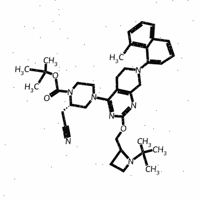 Cc1cccc2cccc(N3CCc4c(nc(OCC5CCN5C(C)(C)C)nc4N4CCN(C(=O)OC(C)(C)C)[C@@H](CC#N)C4)C3)c12